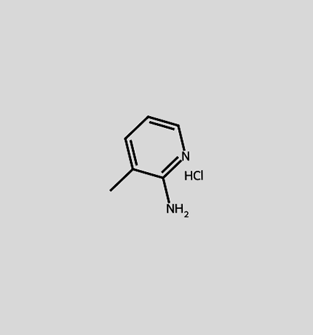 Cc1cccnc1N.Cl